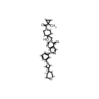 CC1(C(=O)N2CCC(O)(Cn3cnc4c(cnn4-c4cccc(N5CC(C6CCOCC6)C5)c4)c3=O)CC2)CC1